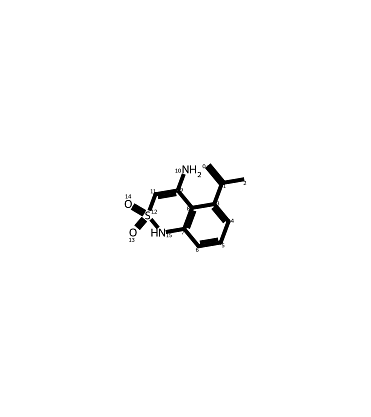 C=C(C)c1cccc2c1C(N)=CS(=O)(=O)N2